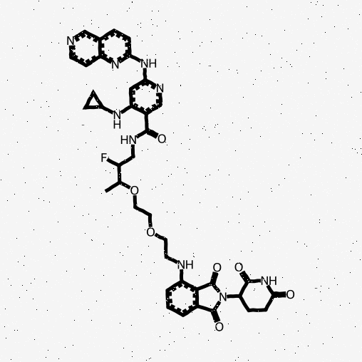 CC(OCCOCCNc1cccc2c1C(=O)N(C1CCC(=O)NC1=O)C2=O)C(F)CNC(=O)c1cnc(Nc2ccc3cnccc3n2)cc1NC1CC1